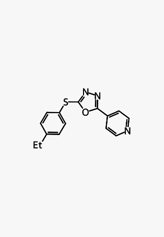 CCc1ccc(Sc2nnc(-c3ccncc3)o2)cc1